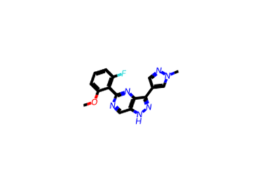 COc1cccc(F)c1-c1ncc2[nH]nc(-c3cnn(C)c3)c2n1